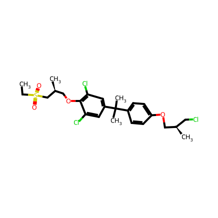 CCS(=O)(=O)C[C@@H](C)COc1c(Cl)cc(C(C)(C)c2ccc(OC[C@H](C)CCl)cc2)cc1Cl